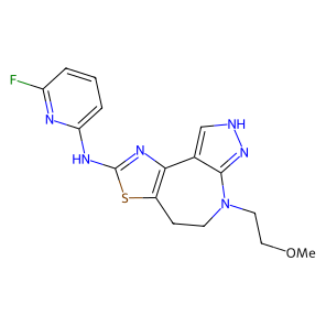 COCCN1CCc2sc(Nc3cccc(F)n3)nc2-c2c[nH]nc21